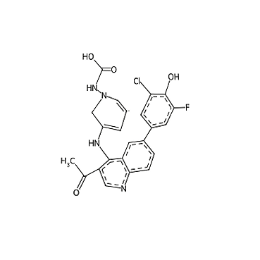 CC(=O)c1cnc2ccc(-c3cc(F)c(O)c(Cl)c3)cc2c1NC1=C[C]=CN(NC(=O)O)C1